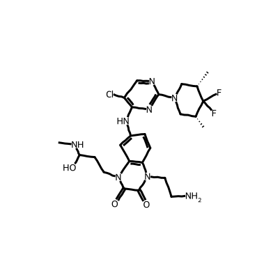 CNC(O)CCn1c(=O)c(=O)n(CCN)c2ccc(Nc3nc(N4C[C@@H](C)C(F)(F)[C@@H](C)C4)ncc3Cl)cc21